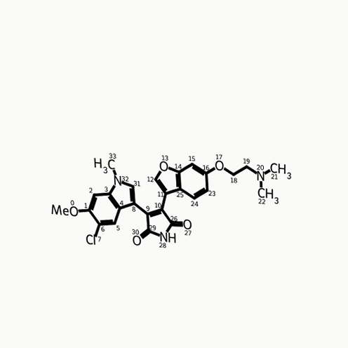 COc1cc2c(cc1Cl)c(C1=C(c3coc4cc(OCCN(C)C)ccc34)C(=O)NC1=O)cn2C